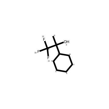 CC(O)(C1CCCCC1)C(F)(F)F